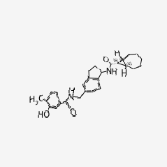 Cc1ccc(C(=O)NCc2ccc3c(c2)CCC3NC(=O)[C@@H]2[C@@H]3CCCCC[C@@H]32)cc1O